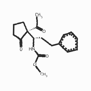 COC(=O)N[C@@H](CCc1ccccc1)[C@]1(C(C)=O)CCCC1=O